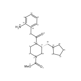 COC(=O)N1CCN(C(=O)Cc2ccccc2N)[C@H](CN2CCCC2)C1